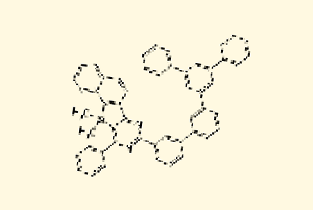 C[Si]1(C)c2c(-c3ccccc3)nc(-c3cccc(-c4cccc(-c5cc(-c6ccccc6)cc(-c6ccccc6)c5)c4)c3)nc2-c2ccc3ccccc3c21